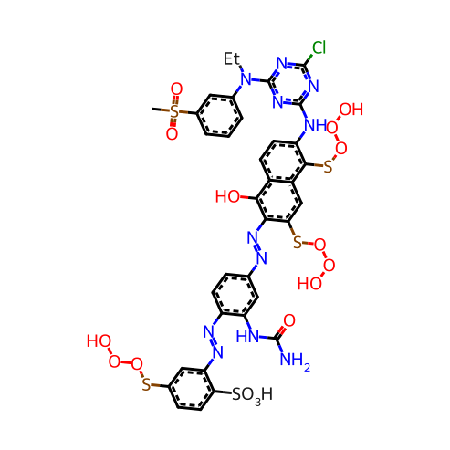 CCN(c1cccc(S(C)(=O)=O)c1)c1nc(Cl)nc(Nc2ccc3c(O)c(/N=N/c4ccc(/N=N/c5cc(SOOO)ccc5S(=O)(=O)O)c(NC(N)=O)c4)c(SOOO)cc3c2SOOO)n1